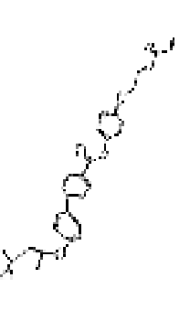 C=CC(=O)OCCOc1ccc(OC(=O)c2ccc(-c3ccc(OC(C)CC(C)Cl)cc3)cc2)cc1